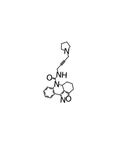 O=C(NCC#CCN1CCCC1)N1c2ccccc2-c2noc3c2C1CCC3